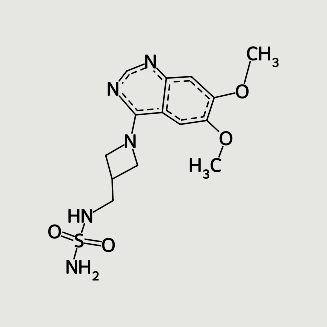 COc1cc2ncnc(N3CC(CNS(N)(=O)=O)C3)c2cc1OC